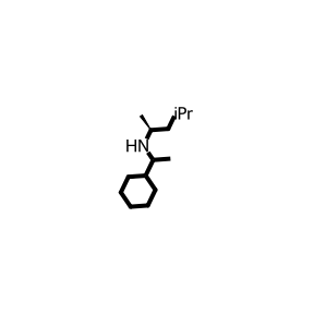 CC(C)C[C@H](C)NC(C)C1CCCCC1